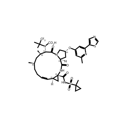 Cc1cc(O[C@@H]2C[C@H]3C(=O)N[C@]4(C(=O)NS(=O)(=O)C5(C)CC5)C[C@H]4C=CCC[C@@H](C)C[C@@H](C)[C@H](N(C(=O)O)C(C)(C)C(F)(F)F)C(=O)N3C2)cc(-c2cncs2)n1